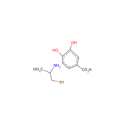 NC(CS)C(=O)O.O=C(O)c1ccc(O)c(O)c1